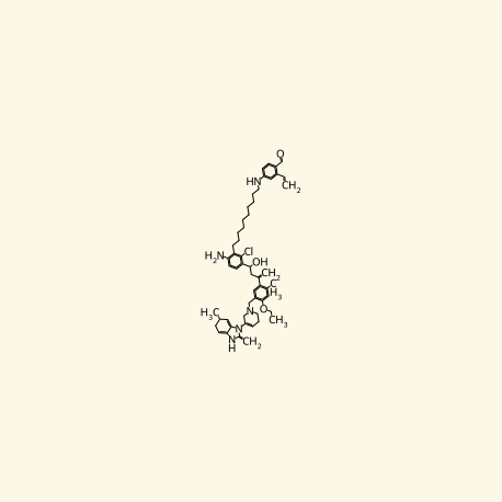 C=Cc1cc(NCCCCCCCCCCc2c(N)ccc(C(O)CC(=C)c3cc(CN4CCC=C(N5C(=C)NC6=CCC(C)C=C65)C4)c(OCC)cc3C)c2Cl)ccc1C=O